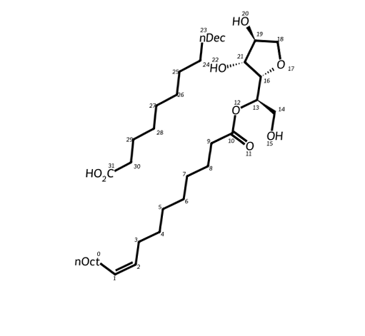 CCCCCCCC/C=C\CCCCCCCC(=O)O[C@H](CO)[C@H]1OC[C@H](O)[C@H]1O.CCCCCCCCCCCCCCCCCC(=O)O